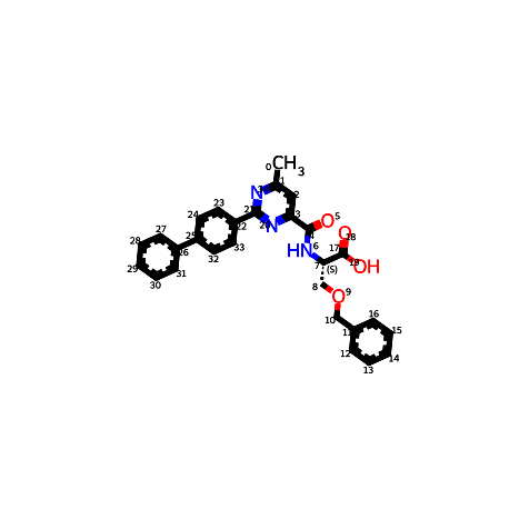 Cc1cc(C(=O)N[C@@H](COCc2ccccc2)C(=O)O)nc(-c2ccc(-c3ccccc3)cc2)n1